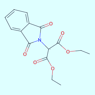 CCOC(=O)[C](C(=O)OCC)N1C(=O)c2ccccc2C1=O